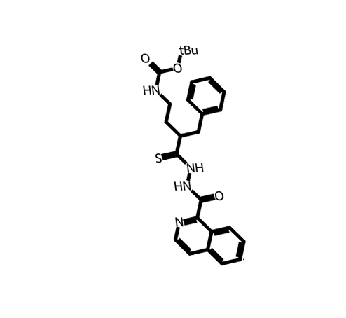 CC(C)(C)OC(=O)NCCC(Cc1ccccc1)C(=S)NNC(=O)c1nccc2c[c]ccc12